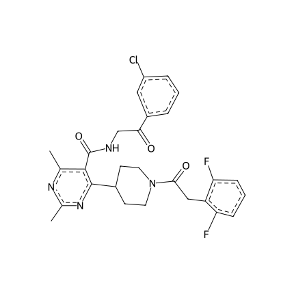 Cc1nc(C)c(C(=O)NCC(=O)c2cccc(Cl)c2)c(C2CCN(C(=O)Cc3c(F)cccc3F)CC2)n1